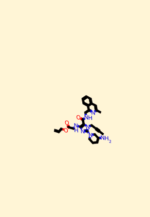 C=CCOC(=O)CNc1nc(N2CCCC(N)C2)n(CC#CC)c1C(=O)NCc1nc(C)cc2ccccc12